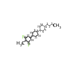 CCCCC1CCC(c2ccc(-c3cc(F)c(C)c(F)c3)cc2)CC1